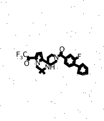 CC1(C)Cn2c(C(=O)C(F)(F)F)ccc2C2(CCN(C(=O)c3ccc(-c4ccccc4)c(F)c3)CC2)N1